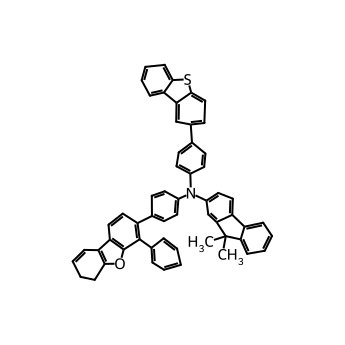 CC1(C)c2ccccc2-c2ccc(N(c3ccc(-c4ccc5sc6ccccc6c5c4)cc3)c3ccc(-c4ccc5c6c(oc5c4-c4ccccc4)CCC=C6)cc3)cc21